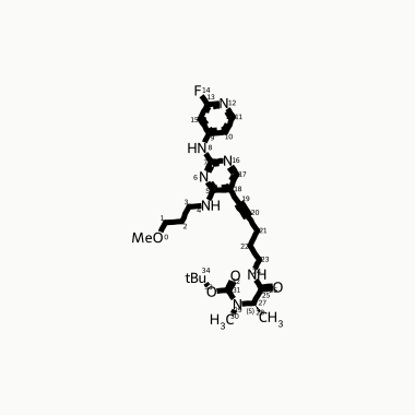 COCCCNc1nc(Nc2ccnc(F)c2)ncc1C#CCCCNC(=O)[C@H](C)N(C)C(=O)OC(C)(C)C